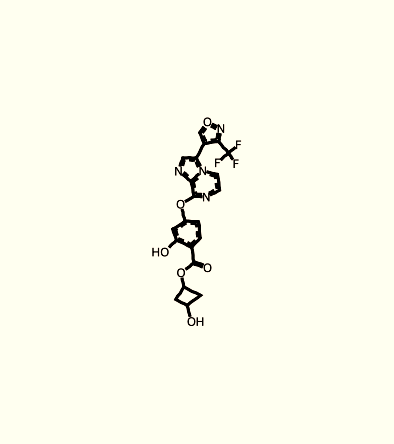 O=C(OC1CC(O)C1)c1ccc(Oc2nccn3c(-c4conc4C(F)(F)F)cnc23)cc1O